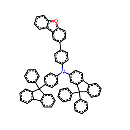 c1ccc(C2(c3ccc(N(c4ccc(-c5ccc6oc7ccccc7c6c5)cc4)c4ccc5c(c4)C(c4ccccc4)(c4ccccc4)c4ccccc4-5)cc3)c3ccccc3-c3ccccc32)cc1